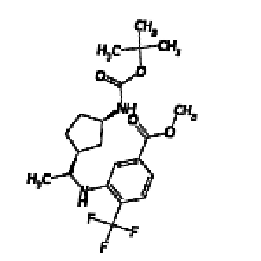 COC(=O)c1ccc(C(F)(F)F)c(NC(C)[C@H]2CC[C@@H](NC(=O)OC(C)(C)C)C2)c1